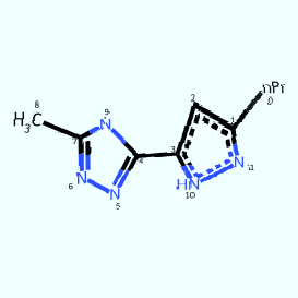 CCCc1cc(C2=NN=C(C)[N]2)[nH]n1